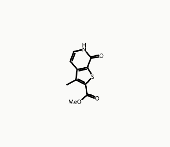 COC(=O)c1sc2c(=O)[nH]ccc2c1C